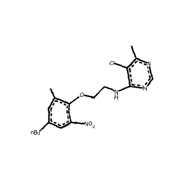 CCCCc1cc(C)c(OCCNc2ncnc(C)c2Cl)c([N+](=O)[O-])c1